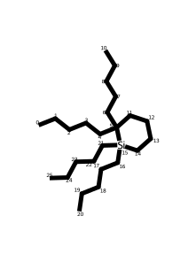 CCCCCC1(CCCCC)CCCC[Si]1(CCCCC)CCCCC